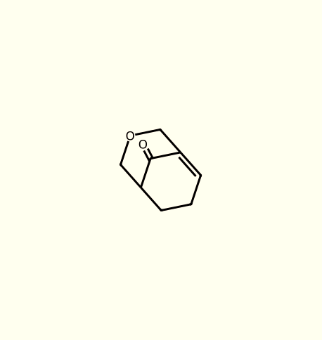 O=C1C2=CCCC1COC2